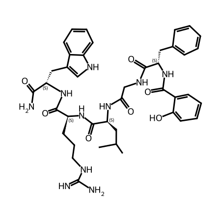 CC(C)C[C@H](NC(=O)CNC(=O)[C@H](Cc1ccccc1)NC(=O)c1ccccc1O)C(=O)N[C@@H](CCCNC(=N)N)C(=O)N[C@@H](Cc1c[nH]c2ccccc12)C(N)=O